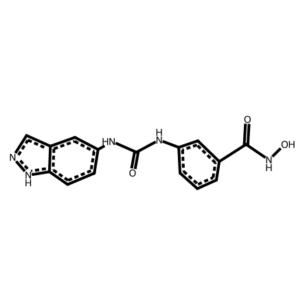 O=C(Nc1cccc(C(=O)NO)c1)Nc1ccc2[nH]ncc2c1